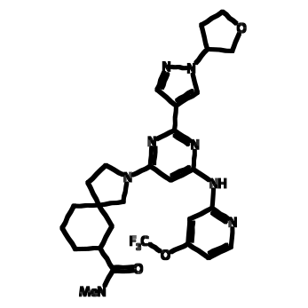 CNC(=O)C1CCCC2(CCN(c3cc(Nc4cc(OC(F)(F)F)ccn4)nc(-c4cnn(C5CCOC5)c4)n3)C2)C1